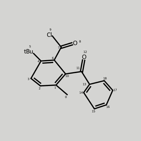 Cc1ccc(C(C)(C)C)c(C(=O)Cl)c1C(=O)c1ccccc1